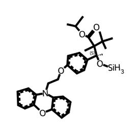 CC(C)OC(=O)C(C)(C(C)(C)C)[C@@](C)(O[SiH3])c1ccc(OCCN2c3ccccc3Oc3ccccc32)cc1